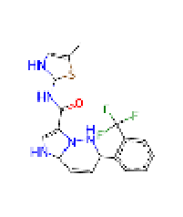 CC1=CNC(NC(=O)C2=CNC3C=CC(c4ccccc4C(F)(F)F)NN23)S1